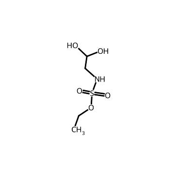 CCOS(=O)(=O)NCC(O)O